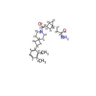 Cc1cccc(C2CC3(CCN(C(=O)[C@@H]4C[C@]5(CCC(N)=O)CC45)CC3)C2)c1C